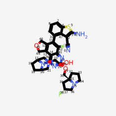 N#Cc1c(N)sc2cccc(-c3c4c(c5c(N6C7CCC6CN(CCO)C7)nc(OC[C@@]67CCCN6C[C@H](F)C7)nc5c3F)COC4)c12